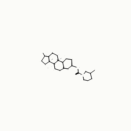 CC1CCCN(C(=O)OC2CC[C@@]3(C)C(CC[C@@H]4[C@@H]3CC[C@]3(C)C(C(=O)O)CC[C@@H]43)C2)C1